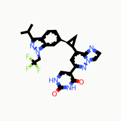 CC(C)c1nn(CC(F)(F)F)c2cc([C@H]3CC3c3cc(-c4c[nH]c(=O)[nH]c4=O)nn4ccnc34)ccc12